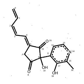 C=C/C=C\C=C1/CC(=O)C(O)(c2ccnc(C)c2O)C1=O